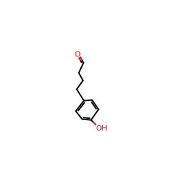 O=CCCCc1ccc(O)cc1